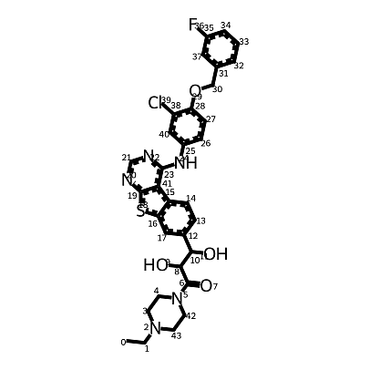 CCN1CCN(C(=O)C(O)C(O)c2ccc3c(c2)sc2ncnc(Nc4ccc(OCc5cccc(F)c5)c(Cl)c4)c23)CC1